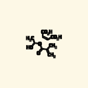 C=C(C)C(=O)OC(C)O.O=C(O)/C=C\C(=O)O